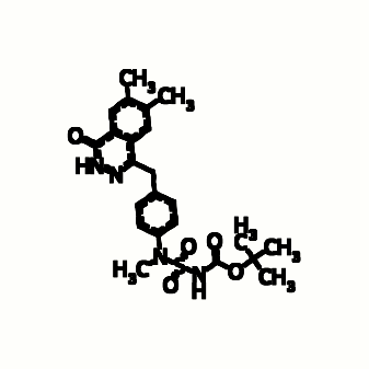 Cc1cc2c(Cc3ccc(N(C)S(=O)(=O)NC(=O)OC(C)(C)C)cc3)n[nH]c(=O)c2cc1C